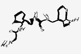 NCC(=O)Nc1ccccc1CNC(=S)NCc1ccnc2[nH]ccc12